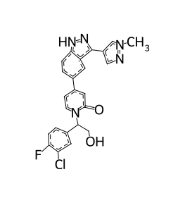 Cn1cc(-c2n[nH]c3ccc(-c4ccn(C(CO)c5ccc(F)c(Cl)c5)c(=O)c4)cc23)cn1